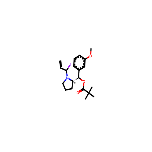 C=CC(I)N1CCC[C@H]1C(OC(=O)C(C)(C)C)c1cccc(OC)c1